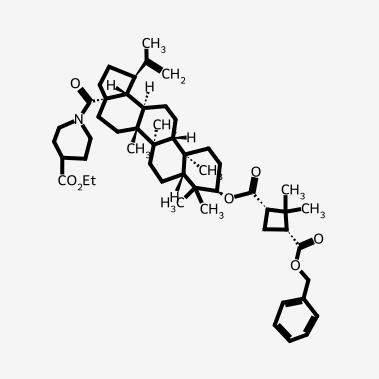 C=C(C)[C@@H]1CC[C@]2(C(=O)N3CCC(C(=O)OCC)CC3)CC[C@]3(C)[C@H](CC[C@@H]4[C@@]5(C)CC[C@H](OC(=O)[C@H]6C[C@@H](C(=O)OCc7ccccc7)C6(C)C)C(C)(C)[C@@H]5CC[C@]43C)[C@@H]12